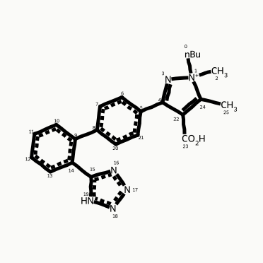 CCCC[N+]1(C)N=C(c2ccc(-c3ccccc3-c3nnn[nH]3)cc2)C(C(=O)O)=C1C